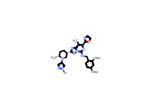 CCn1cc(N2C[C@@H](c3nc4c(C)c(-c5ncco5)nc(NCc5ccc(OC)cc5OC)n4n3)CC[C@H]2C)cn1